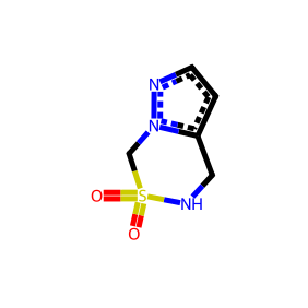 O=S1(=O)Cn2nccc2CN1